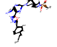 CNCc1ccc(-c2nnc(-c3nc(N4CCC5(C4)CN(S(=O)(=O)C(C)C)C5)cnc3N)o2)cc1